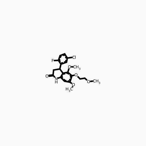 COCCOc1c(OC)cc2c(c1OC)C(c1cc(Cl)ccc1F)CC(=O)N2